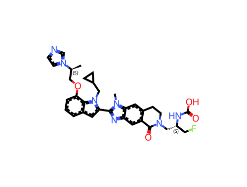 C[C@@H](COc1cccc2cc(-c3nc4cc5c(cc4n3C)CCN(C[C@@H](CF)NC(=O)O)C5=O)n(CC3CC3)c12)n1ccnc1